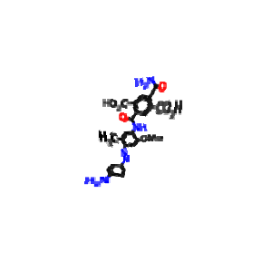 COc1cc(/N=N/c2ccc(N)cc2)c(C)cc1NC(=O)c1cc(C(=O)O)c(C(N)=O)cc1C(=O)O